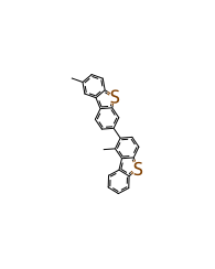 Cc1ccc2sc3cc(-c4ccc5sc6ccccc6c5c4C)ccc3c2c1